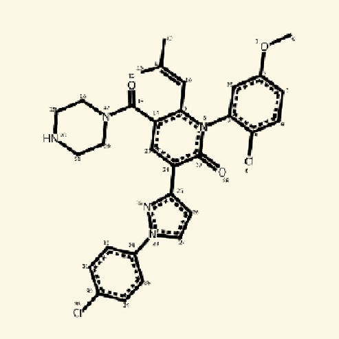 COc1ccc(Cl)c(-n2c(C=C(C)C)c(C(=O)N3CCNCC3)cc(-c3ccn(-c4ccc(Cl)cc4)n3)c2=O)c1